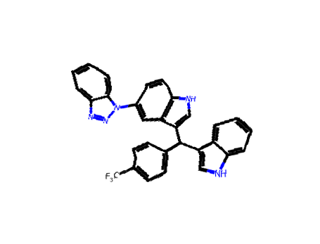 FC(F)(F)c1ccc(C(c2c[nH]c3ccccc23)c2c[nH]c3ccc(-n4nnc5ccccc54)cc23)cc1